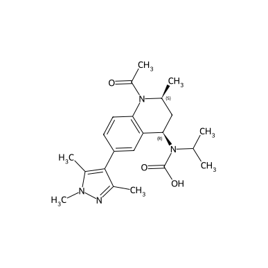 CC(=O)N1c2ccc(-c3c(C)nn(C)c3C)cc2[C@H](N(C(=O)O)C(C)C)C[C@@H]1C